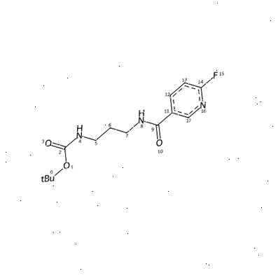 CC(C)(C)OC(=O)NCCCNC(=O)c1ccc(F)nc1